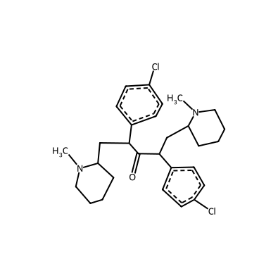 CN1CCCCC1CC(C(=O)C(CC1CCCCN1C)c1ccc(Cl)cc1)c1ccc(Cl)cc1